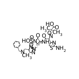 CN(Cc1ccccc1)Cc1cnn(C[C@H]2[C@H](NC(=O)C(=NOC(C)(C)C(=O)O)c3csc(N)n3)C(=O)N2S(=O)(=O)O)n1